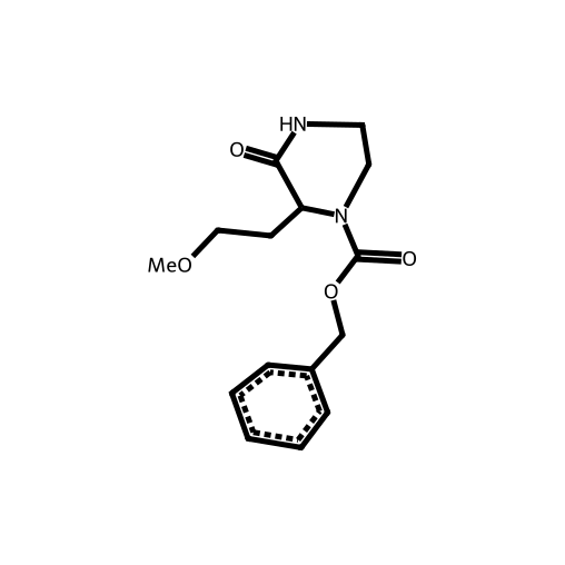 COCCC1C(=O)NCCN1C(=O)OCc1ccccc1